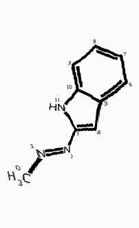 CN=Nc1cc2ccccc2[nH]1